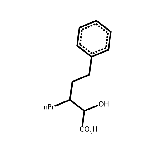 CCCC(CCc1ccccc1)C(O)C(=O)O